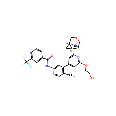 Cc1ccc(NC(=O)c2ccnc(C(F)(F)F)c2)cc1-c1cc(OCCO)nc([C@@]23CCOC[C@]2(C#N)C3)c1